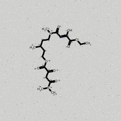 CCOC(=O)/C(O)=C/C(=O)N(C)CCC(C)CCOC(=O)C(=O)CC(=O)N(C)C